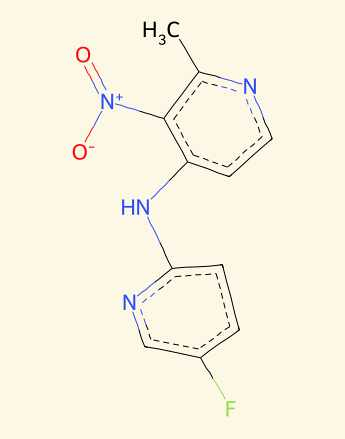 Cc1nccc(Nc2ccc(F)cn2)c1[N+](=O)[O-]